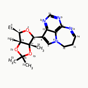 CC[C@H]1O[C@@H](c2cn3c4c(ncnc24)N=CCC3)[C@]2(C)OC(C)(C)O[C@H]12